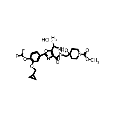 COC(=O)N1CCC(O)(CNC(=O)c2nc(-c3ccc(OC(F)F)c(OCC4CC4)c3)oc2C(C)N)CC1.Cl